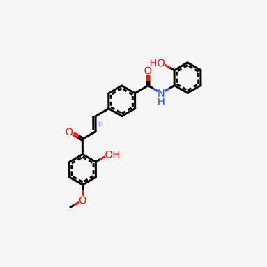 COc1ccc(C(=O)/C=C/c2ccc(C(=O)Nc3ccccc3O)cc2)c(O)c1